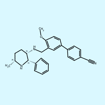 COc1ccc(-c2ccc(C#N)cc2)cc1CN[C@H]1CC[C@@H](C)N[C@H]1c1ccccc1